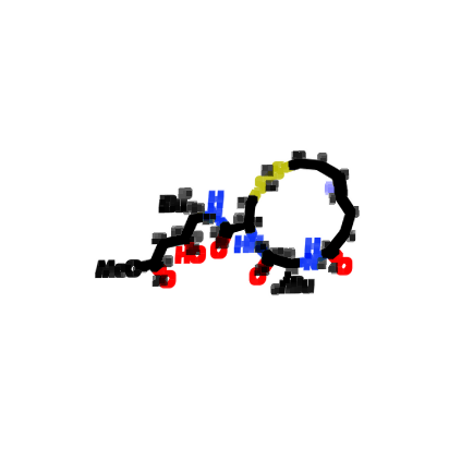 CCCC[C@H]1NC(=O)CC/C=C/CCSSC[C@H](C(=O)NC([C@H](C)CC)[C@@H](O)CC(=O)OC)NC1=O